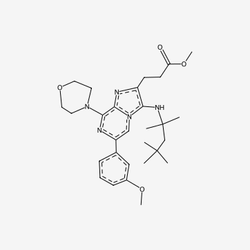 COC(=O)CCc1nc2c(N3CCOCC3)nc(-c3cccc(OC)c3)cn2c1NC(C)(C)CC(C)(C)C